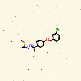 C=C(N/N=C(\C)c1ccc(OCc2cccc(Br)c2)cc1)SC